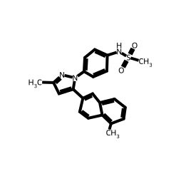 Cc1cc(-c2ccc3c(C)cccc3c2)n(-c2ccc(NS(C)(=O)=O)cc2)n1